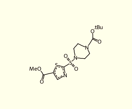 COC(=O)c1cnc(S(=O)(=O)N2CCN(C(=O)OC(C)(C)C)CC2)s1